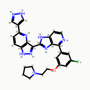 Fc1cc(OCCN2CCCC2)cc(-c2nccc3[nH]c(-c4n[nH]c5ccc(-c6cn[nH]c6)nc45)nc23)c1